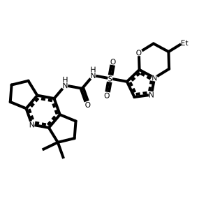 CCC1COc2c(S(=O)(=O)NC(=O)Nc3c4c(nc5c3CCC5(C)C)CCC4)cnn2C1